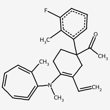 C=CC1=C(N(C)C2=C=CC=CC=C2C)CCC(C(C)=O)(c2cccc(F)c2C)C1